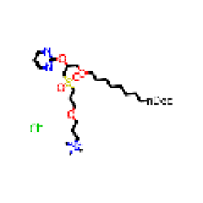 CCCCCCCCCCCCCCCCCCOCC(CS(=O)(=O)CCCOCCC[N+](C)(C)C)Oc1ncccn1.[Cl-]